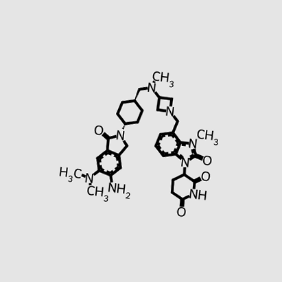 CN(C)c1cc2c(cc1N)CN([C@H]1CC[C@H](CN(C)C3CN(Cc4cccc5c4n(C)c(=O)n5C4CCC(=O)NC4=O)C3)CC1)C2=O